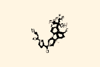 C[C@]1(c2ccc(F)cc2)CN(C(=O)C2CCN(C(=O)CC#N)C2)C[C@H]1c1ccc(C(O)(C(F)(F)F)C(F)(F)F)cc1